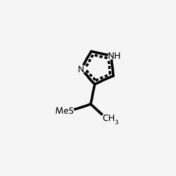 CSC(C)c1c[nH]cn1